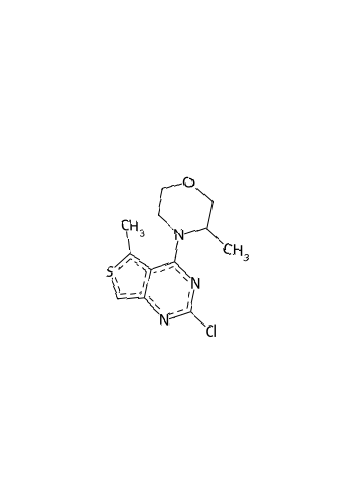 Cc1scc2nc(Cl)nc(N3CCOCC3C)c12